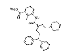 COC(=O)c1cccc(NC(=O)N(CCC(c2ccccc2)c2ccccc2)CCN2CCOCC2)c1C